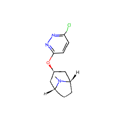 CN1[C@@H]2CC[C@H]1C[C@H](Oc1ccc(Cl)nn1)C2